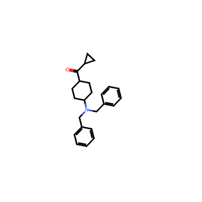 O=C(C1CC1)C1CCC(N(Cc2ccccc2)Cc2ccccc2)CC1